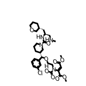 CNC[C@H](C[C@H]1CCCOC1)NC(=O)N1CCC[C@@H](C(OCCN(C(=O)O)/C(=C\C(=O)OC)C(=O)OC)c2cccc(Cl)c2)C1